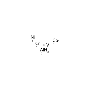 [AlH3].[Co].[Cr].[Ni].[V]